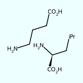 CC(C)C[C@H](N)C(=O)O.NCCCC(=O)O